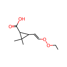 CCOOC=CC1C(C(=O)O)C1(C)C